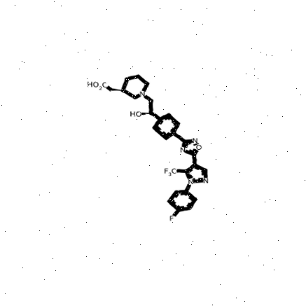 O=C(O)C[C@H]1CCCN(C[C@H](O)c2ccc(-c3noc(-c4cnn(-c5ccc(F)cc5)c4C(F)(F)F)n3)cc2)C1